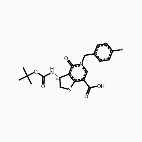 CC(C)(C)OC(=O)N[C@H]1CSc2c(C(=O)O)cn(Cc3ccc(F)cc3)c(=O)c21